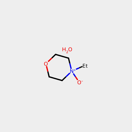 CC[N+]1([O-])CCOCC1.O